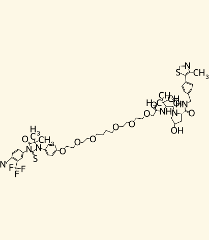 Cc1ncsc1-c1ccc(CNC(=O)[C@@H]2CC(O)CN2C(=O)C(NC(=O)COCCOCCOCCCCOCCOCCOc2ccc(N3C(=S)N(c4ccc(C#N)c(C(F)(F)F)c4)C(=O)C3(C)C)cc2)C(C)(C)C)cc1